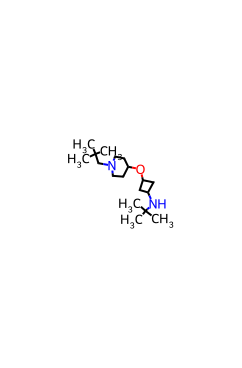 CC(C)(C)CN1CCC(OC2CC(NC(C)(C)C)C2)CC1